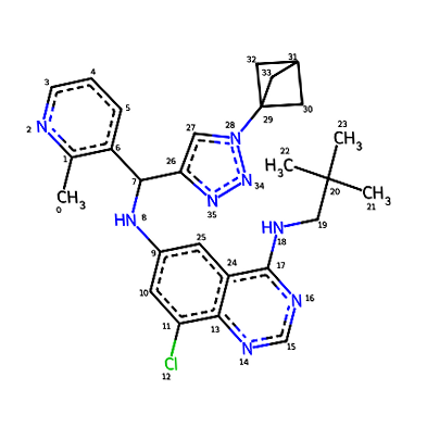 Cc1ncccc1C(Nc1cc(Cl)c2ncnc(NCC(C)(C)C)c2c1)c1cn(C23CC(C2)C3)nn1